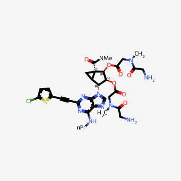 CCCNc1nc(C#Cc2ccc(Cl)s2)nc2c1ncn2[C@@H]1C2C[C@@]2(C(=O)NC)[C@@H](OC(=O)CN(C)C(=O)CN)[C@H]1OC(=O)CN(C)C(=O)CN